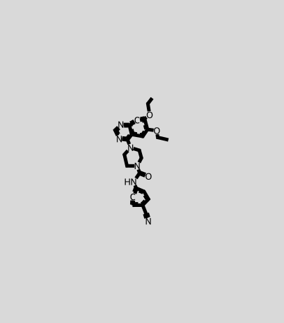 CCOc1cc2ncnc(N3CCN(C(=O)Nc4ccc(C#N)cc4)CC3)c2cc1OCC